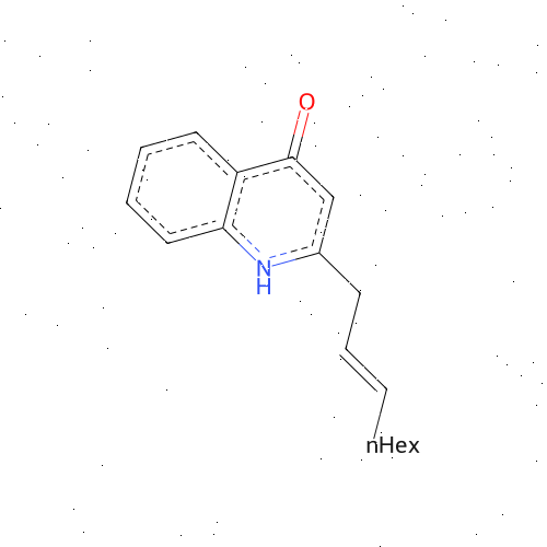 CCCCCCC=CCc1cc(=O)c2ccccc2[nH]1